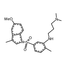 COc1ccc2c(c1)c(C)cn2S(=O)(=O)c1ccc(C)c(NCCCN(C)C)c1